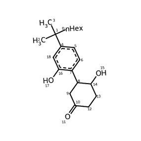 CCCCCCC(C)(C)c1ccc(C2CC(=O)CCC2O)c(O)c1